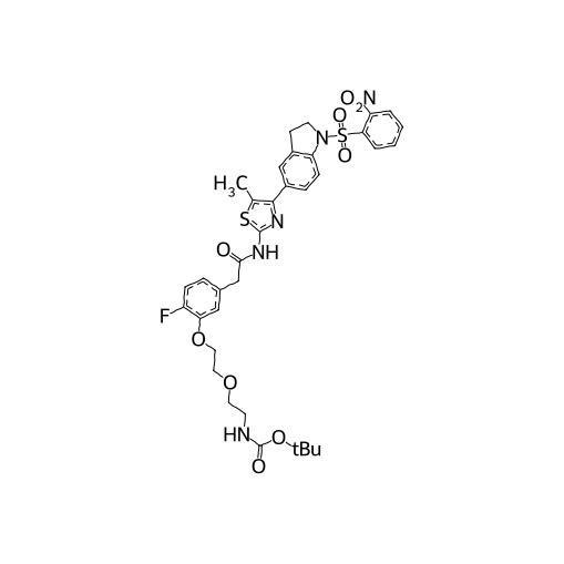 Cc1sc(NC(=O)Cc2ccc(F)c(OCCOCCNC(=O)OC(C)(C)C)c2)nc1-c1ccc2c(c1)CCN2S(=O)(=O)c1ccccc1[N+](=O)[O-]